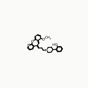 COC1C=CC=C2Oc3ncccc3C(=CCCN3CCC(c4ccccc4O)CC3)C=C21